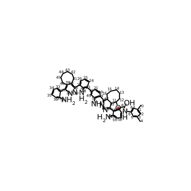 Cc1cc(C)cc(NC(O)OC2CCCCCC3C(c4ccc(-c5cccc(-c6nnc(-c7ccccc7N)c7c6CCCCCC7)c5N)cc4N)=NN=C(c4ccccc4N)C23)c1